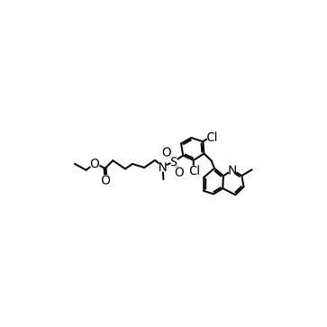 CCOC(=O)CCCCCN(C)S(=O)(=O)c1ccc(Cl)c(Cc2cccc3ccc(C)nc23)c1Cl